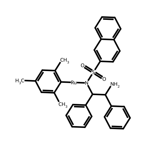 Cc1cc(C)[c]([Ru][N](C(c2ccccc2)C(N)c2ccccc2)S(=O)(=O)c2ccc3ccccc3c2)c(C)c1